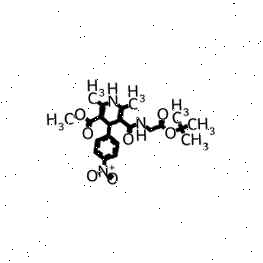 COC(=O)C1=C(C)NC(C)=C(C(=O)NCC(=O)OC(C)(C)C)C1c1ccc([N+](=O)[O-])cc1